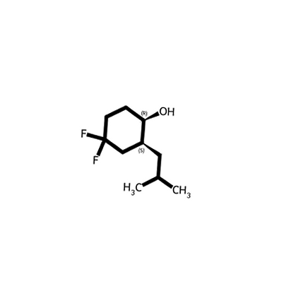 CC(C)C[C@H]1CC(F)(F)CC[C@H]1O